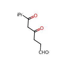 CC(C)C(=O)CC(=O)CC[C]=O